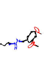 CCCCNN=Cc1ccc(OC)cc1OC